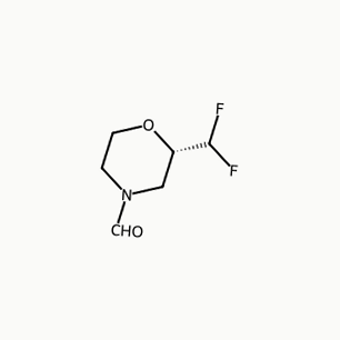 O=CN1CCO[C@H](C(F)F)C1